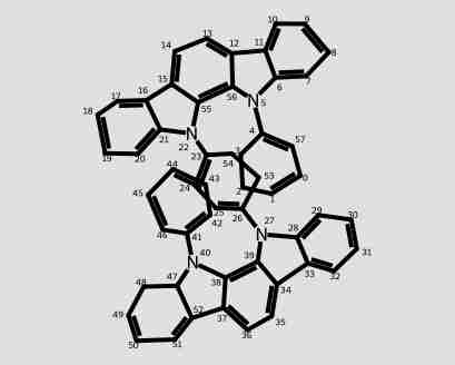 C1=CCCC(n2c3ccccc3c3ccc4c5ccccc5n(C5=CC=C(n6c7ccccc7c7ccc8c(c76)N(c6ccccc6)C6CC=CC=C86)CC5)c4c32)=C1